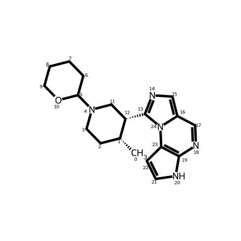 C[C@@H]1CCN(C2CC[CH]CO2)C[C@@H]1c1ncc2cnc3[nH]ccc3n12